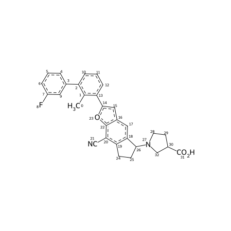 Cc1c(-c2cccc(F)c2)cccc1-c1cc2cc3c(c(C#N)c2o1)CCC3N1CCC(C(=O)O)C1